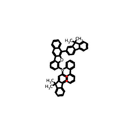 CC1(C)c2ccccc2-c2ccc(-c3c4ccccc4cc4c3oc3c(N(c5ccc6c(c5)C(C)(C)c5ccccc5-6)c5ccccc5-c5ccccc5)cccc34)cc21